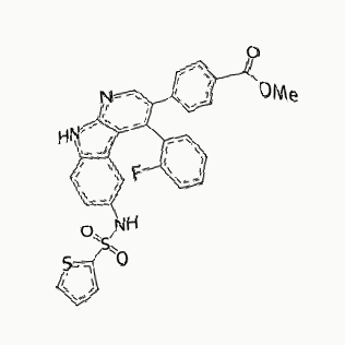 COC(=O)c1ccc(-c2cnc3[nH]c4ccc(NS(=O)(=O)c5cccs5)cc4c3c2-c2ccccc2F)cc1